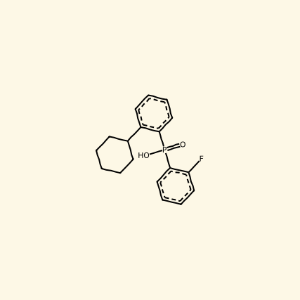 O=P(O)(c1ccccc1F)c1ccccc1C1CCCCC1